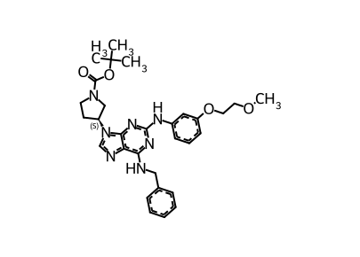 COCCOc1cccc(Nc2nc(NCc3ccccc3)c3ncn([C@H]4CCN(C(=O)OC(C)(C)C)C4)c3n2)c1